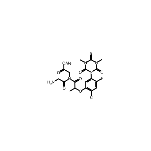 COC(=O)CN(C(=O)CN)C(=O)C(C)Oc1cc(-n2c(=O)n(C)c(=S)n(C)c2=O)c(F)cc1Cl